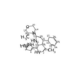 CC1=CNC(C2=CCNN2)C2NC(N3CCOC[C@H]3C)CC(C3C=CC=CC3)C12